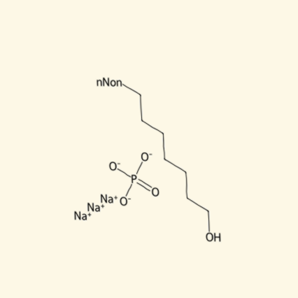 CCCCCCCCCCCCCCCCO.O=P([O-])([O-])[O-].[Na+].[Na+].[Na+]